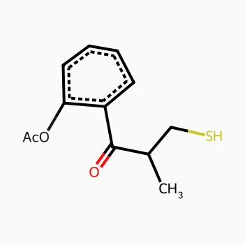 CC(=O)Oc1ccccc1C(=O)C(C)CS